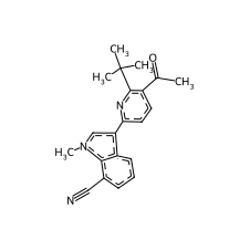 CC(=O)c1ccc(-c2cn(C)c3c(C#N)cccc23)nc1C(C)(C)C